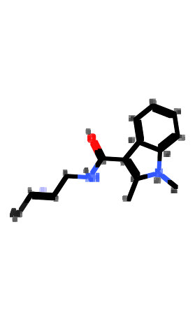 CC(=O)/C=C/CNC(=O)c1c(C)n(C)c2ccccc12